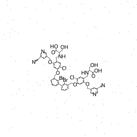 N#Cc1cncc(COc2cc(OCc3cccc(-c4cccc(COc5cc(OCc6cncc(C#N)c6)c(CNC(CO)C(=O)O)cc5Cl)c4Br)c3Br)c(Cl)cc2CNC(CO)C(=O)O)c1